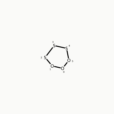 O1OSSSO1